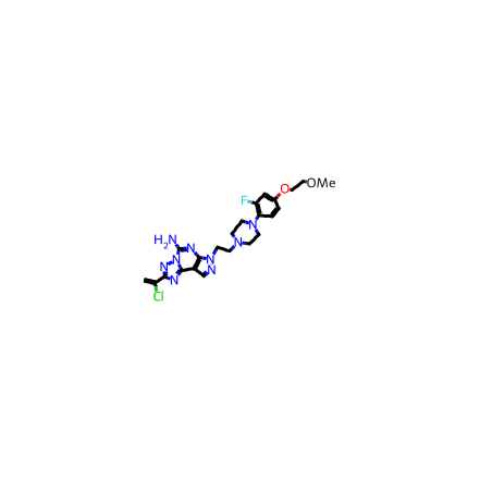 C=C(Cl)c1nc2c3cnn(CCN4CCN(c5ccc(OCCOC)cc5F)CC4)c3nc(N)n2n1